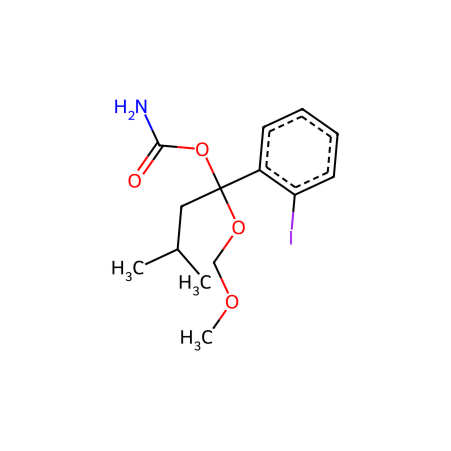 COCOC(CC(C)C)(OC(N)=O)c1ccccc1I